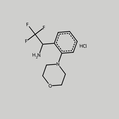 Cl.NC(c1ccccc1N1CCOCC1)C(F)(F)F